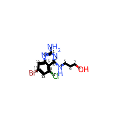 Nc1nc(NCCCO)c2c(Cl)cc(Br)cc2n1